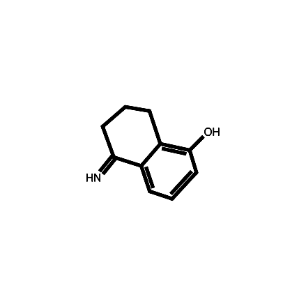 N=C1CCCc2c(O)cccc21